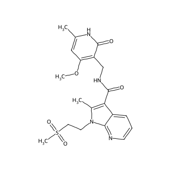 COc1cc(C)[nH]c(=O)c1CNC(=O)c1c(C)n(CCS(C)(=O)=O)c2ncccc12